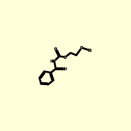 CCOCCOC(=O)NC(=N)c1cc[c]cc1